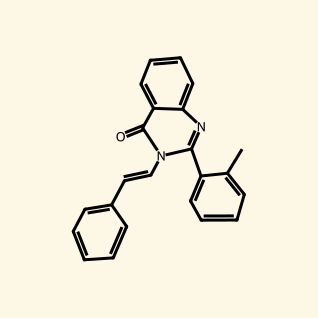 Cc1ccccc1-c1nc2ccccc2c(=O)n1C=Cc1ccccc1